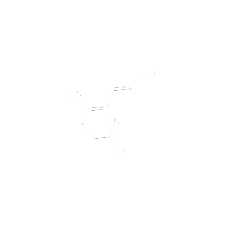 CCOC(=O)/C=C/c1nc(C(F)(F)F)ccc1N